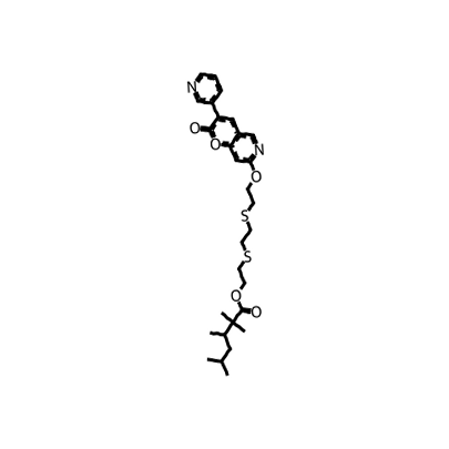 CC(C)CC(C)C(C)(C)C(=O)OCCSCCSCCOc1cc2oc(=O)c(-c3cccnc3)cc2cn1